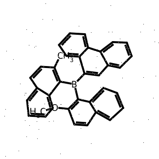 COc1ccc2ccccc2c1B(c1c(C)ccc2ccccc12)c1cc2ccccc2c2ccccc12